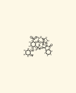 O=C1c2ccccc2C(=O)N1[C@@H]1CCN2CCN(c3c([N+](=O)[O-])ccc(Oc4ccccc4F)c3C(F)(F)F)C[C@@H]12